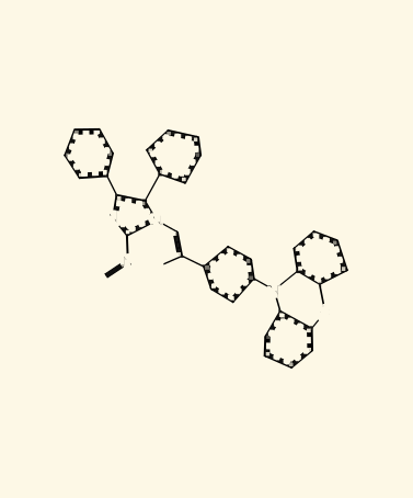 C=Nc1nc(-c2ccccc2)c(-c2ccccc2)n1/C=C(\C)c1ccc(N2c3ccccc3Oc3ccccc32)cc1